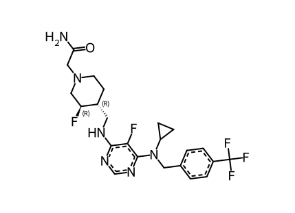 NC(=O)CN1CC[C@H](CNc2ncnc(N(Cc3ccc(C(F)(F)F)cc3)C3CC3)c2F)[C@@H](F)C1